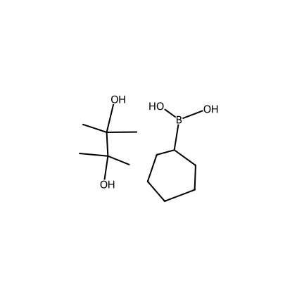 CC(C)(O)C(C)(C)O.OB(O)C1CCCCC1